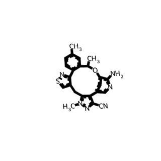 Cc1ccc2c(c1)C(C)Oc1cc(cnc1N)-c1c(C#N)nn(C)c1Cc1csnc1-2